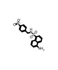 Nc1cccc2c(S(=O)(=O)NCc3ccc([N+](=O)[O-])cc3)cccc12